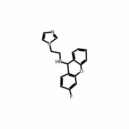 Fc1ccc2c(c1)Oc1ccccc1C2NCCn1ccnc1